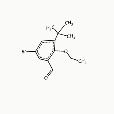 CCOc1c(C=O)cc(Br)cc1C(C)(C)C